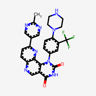 Cc1ncc(-c2ccc3ncc4c(=O)[nH]c(=O)n(-c5ccc(N6CCNCC6)c(C(F)(F)F)c5)c4c3n2)cn1